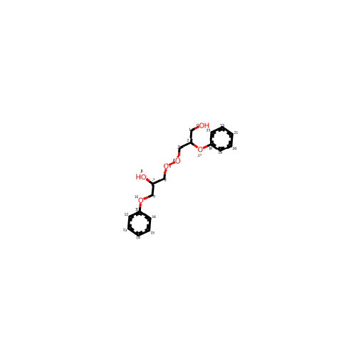 OCC(COOCC(O)COc1ccccc1)Oc1ccccc1